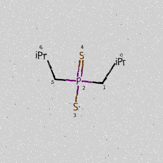 CC(C)CP([S])(=S)CC(C)C